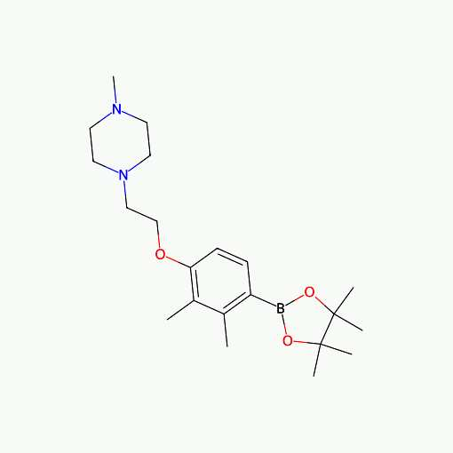 Cc1c(OCCN2CCN(C)CC2)ccc(B2OC(C)(C)C(C)(C)O2)c1C